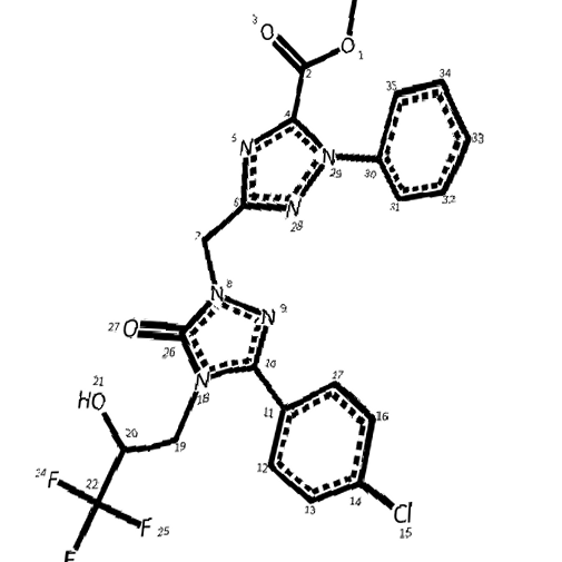 COC(=O)c1nc(Cn2nc(-c3ccc(Cl)cc3)n(CC(O)C(F)(F)F)c2=O)nn1-c1ccccc1